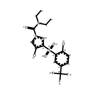 CCN(CC)C(=O)n1cc(Cl)c(S(=O)(=O)c2cc(C(F)(F)F)ccc2Cl)n1